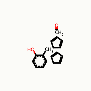 C1=CCC=C1.C1=CCC=C1.C=O.Cc1ccccc1O